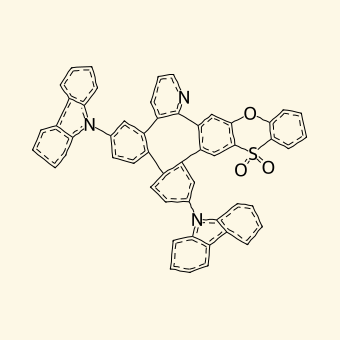 O=S1(=O)c2ccccc2Oc2cc3c(cc21)-c1cc(-n2c4ccccc4c4ccccc42)ccc1-c1ccc(-n2c4ccccc4c4ccccc42)cc1-c1cccnc1-3